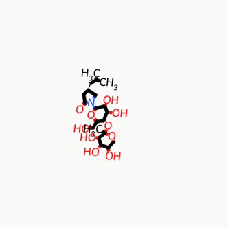 CC(C)C[C@H]1CC(=O)N(C2OC(CO)C(OC3(C)OCC(O)C(O)C3O)C(O)C2O)C1